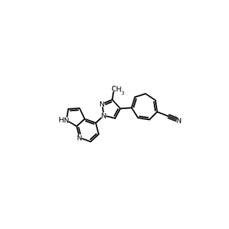 Cc1nn(-c2ccnc3[nH]ccc23)cc1C1=CCC=C(C#N)C=C1